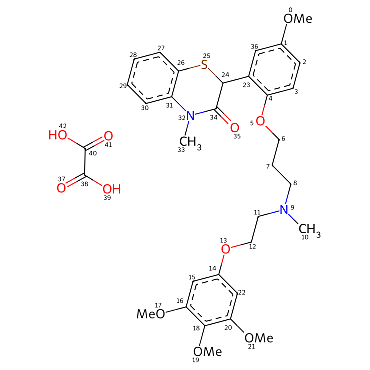 COc1ccc(OCCCN(C)CCOc2cc(OC)c(OC)c(OC)c2)c(C2Sc3ccccc3N(C)C2=O)c1.O=C(O)C(=O)O